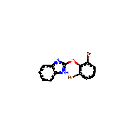 Brc1cccc(Br)c1Oc1nc2ccccc2[nH]1